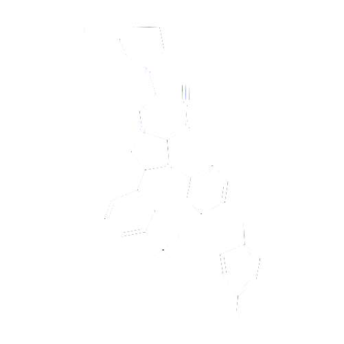 [C-]#[N+]/N=C1\N(CCN2CCO[C@@H](C)C2)CC(c2cccc(C(F)(F)F)c2)N1c1ccc(Oc2ccc(Cl)cc2)cc1